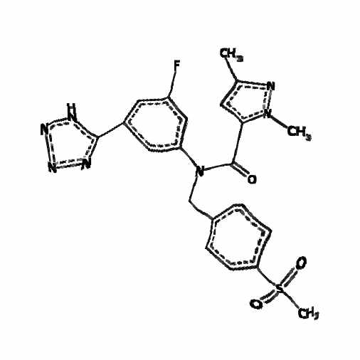 Cc1cc(C(=O)N(Cc2ccc(S(C)(=O)=O)cc2)c2cc(F)cc(-c3nnn[nH]3)c2)n(C)n1